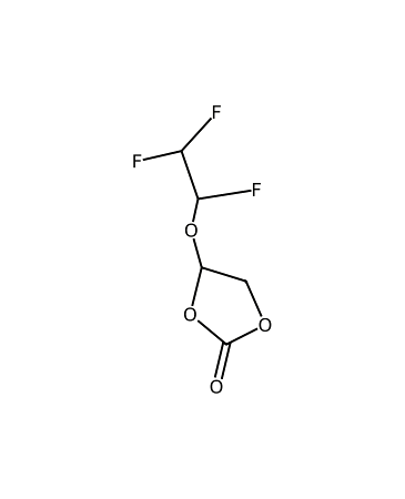 O=C1OCC(OC(F)C(F)F)O1